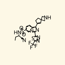 CCC(C#N)NS(=O)(=O)c1ccc2c(C3=CC4(CC3)CNC4)nc(-c3nnc(C(F)(F)F)s3)n2c1